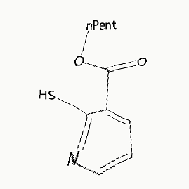 CCCCCOC(=O)c1cccnc1S